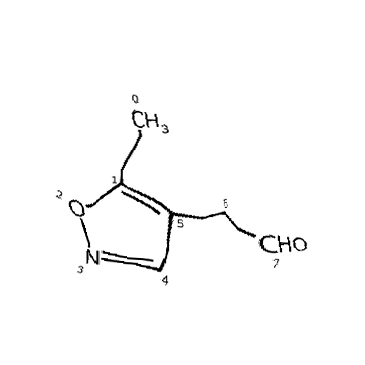 Cc1oncc1CC=O